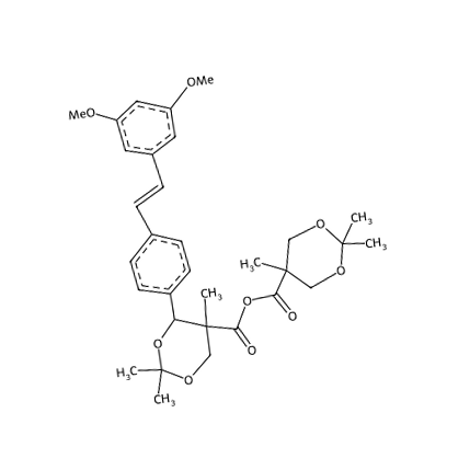 COc1cc(C=Cc2ccc(C3OC(C)(C)OCC3(C)C(=O)OC(=O)C3(C)COC(C)(C)OC3)cc2)cc(OC)c1